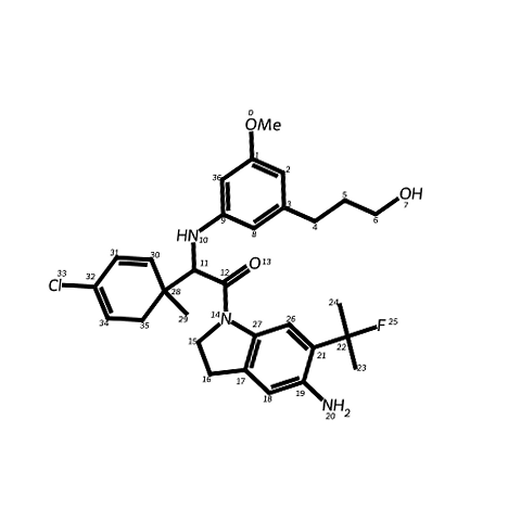 COc1cc(CCCO)cc(NC(C(=O)N2CCc3cc(N)c(C(C)(C)F)cc32)C2(C)C=CC(Cl)=CC2)c1